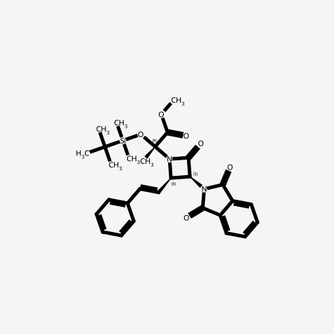 COC(=O)[C@@](C)(O[Si](C)(C)C(C)(C)C)N1C(=O)[C@@H](N2C(=O)c3ccccc3C2=O)[C@H]1C=Cc1ccccc1